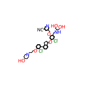 N#Cc1cncc(COc2cc(O[C@H]3CCc4c(-c5cccc(OCCCN6CCC(O)CC6)c5Cl)cccc43)c(Cl)cc2CNC(CO)CO)c1